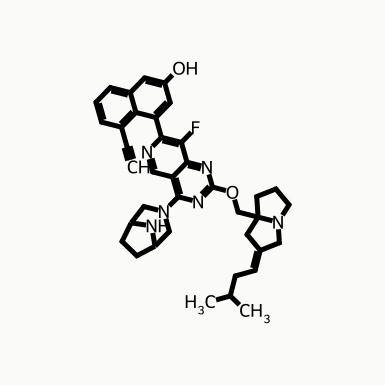 C#Cc1cccc2cc(O)cc(-c3ncc4c(N5CC6CCC(C5)N6)nc(OCC56CCCN5CC(=CCC(C)C)C6)nc4c3F)c12